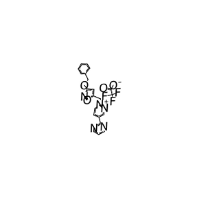 O=C([O-])C(F)(F)F.c1ccc(COc2cc(C[n+]3ccc(-c4ncccn4)cn3)on2)cc1